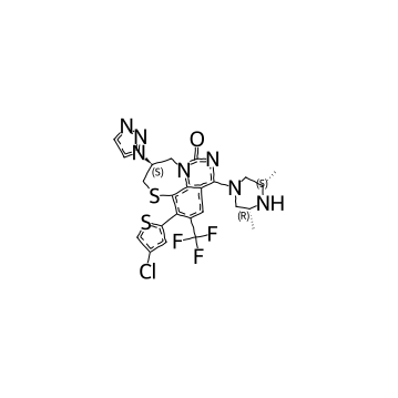 C[C@@H]1CN(c2nc(=O)n3c4c(c(-c5cc(Cl)cs5)c(C(F)(F)F)cc24)SC[C@@H](n2ccnn2)C3)C[C@H](C)N1